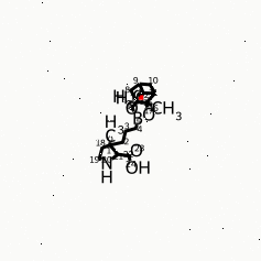 CC1(CCCB2OC3CC4CC(C4(C)C)C3(C)O2)CCNC1C(=O)O